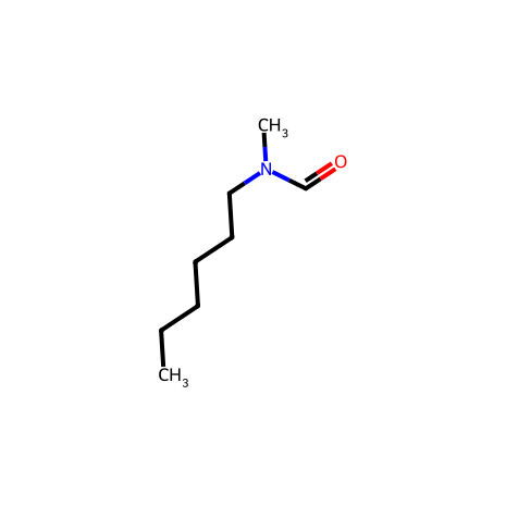 CCCCCCN(C)C=O